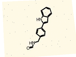 O=CNCc1ccc(-c2cc3ccccc3[nH]2)cc1